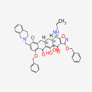 C=CCN[C@@H]1c2onc(OCc3ccccc3)c2C(=O)[C@@]2(O)C(O)=C3C(=O)c4c(OCc5ccccc5)cc(CN5CCc6ccccc6C5)c(Cl)c4C[C@H]3C[C@@H]12